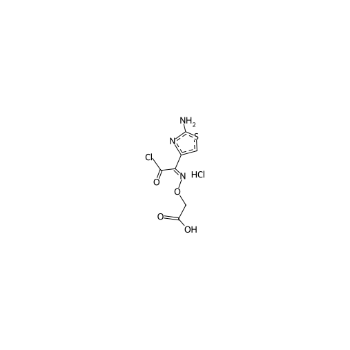 Cl.Nc1nc(C(=NOCC(=O)O)C(=O)Cl)cs1